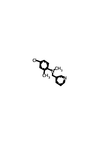 Cc1cc(Cl)ccc1N(C)Cc1cccnc1